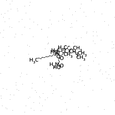 CCCCCCCCCCCC(=O)C1(OC(=O)CC[C@H](N)C(=O)O)CC[C@]2(C)C3=C(CCC2C1(C)C)[C@]1(C)CC[C@H]([C@H](C)CCC=C(C)C)[C@@]1(C)CC3